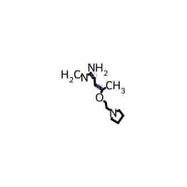 C=N/C(N)=C\C=C(/C)OCCN1CCCC1